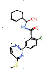 CSc1ccnc(-c2ccc(Cl)c(C(=O)NC(O)C3CCCCC3)c2)n1